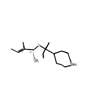 C/C=C(\C)[C@@H](O)OC(C)(C)C1CCNCC1